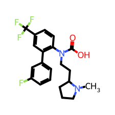 CN1CCCC1CCN(C(=O)O)c1ccc(C(F)(F)F)cc1-c1cccc(F)c1